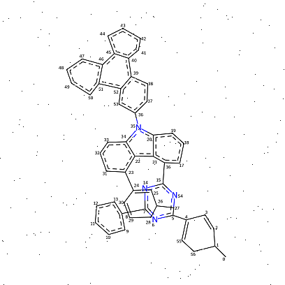 CC1C=CC(c2nc(-c3ccccc3)nc(-c3cccc4c3c3c(C5=CC(C)CC=C5)cccc3n4-c3ccc4c5ccccc5c5ccccc5c4c3)n2)=CC1